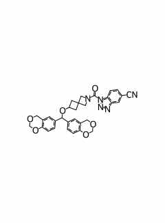 N#Cc1ccc2c(c1)nnn2C(=O)N1CC2(CC(OC(c3ccc4c(c3)COCO4)c3ccc4c(c3)COCO4)C2)C1